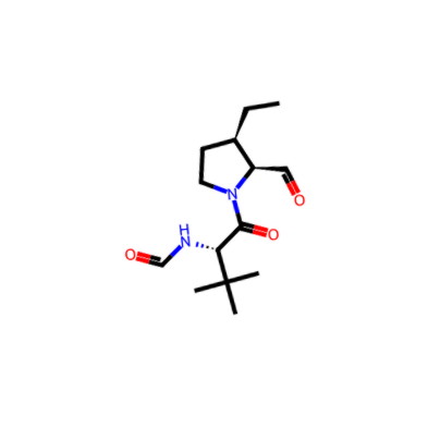 CC[C@@H]1CCN(C(=O)[C@@H](NC=O)C(C)(C)C)[C@@H]1C=O